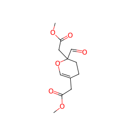 COC(=O)CC1=COC(C=O)(CC(=O)OC)CC1